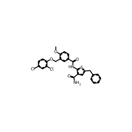 COc1ccc(C(=O)Nc2sc(Cc3ccccc3)cc2C(N)=O)cc1COc1ccc(Cl)cc1Cl